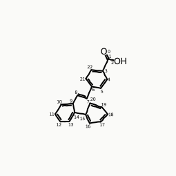 O=C(O)c1ccc(C=Cc2ccccc2-c2ccccc2)cc1